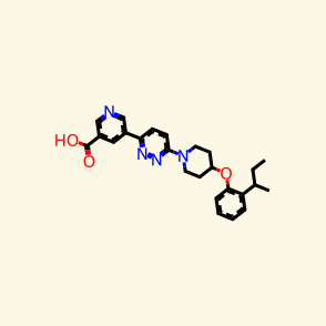 CCC(C)c1ccccc1OC1CCN(c2ccc(-c3cncc(C(=O)O)c3)nn2)CC1